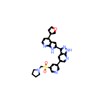 O=S(=O)(CN1CCCC1)c1cncc(-c2cnc3[nH]nc(-c4cc5c(-c6ccoc6)ccnc5[nH]4)c3c2)c1